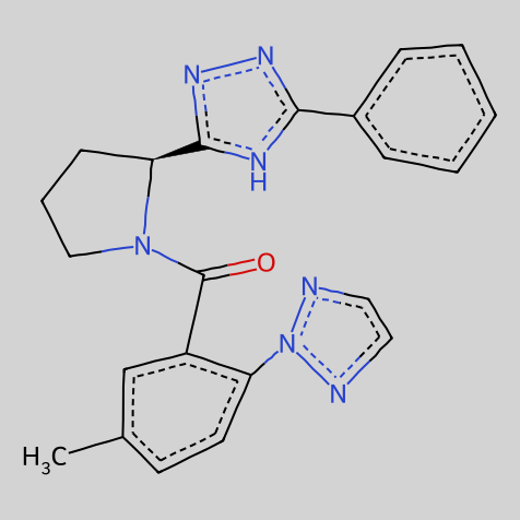 Cc1ccc(-n2nccn2)c(C(=O)N2CCC[C@H]2c2nnc(-c3ccccc3)[nH]2)c1